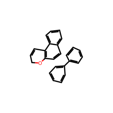 C1=Cc2c(ccc3ccccc23)OC1.c1ccc(-c2ccccc2)cc1